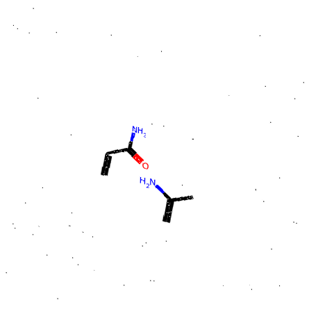 C=C(C)N.C=CC(N)=O